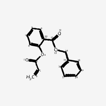 C=CC(=O)Oc1ccccc1C(=O)OCc1ccccc1